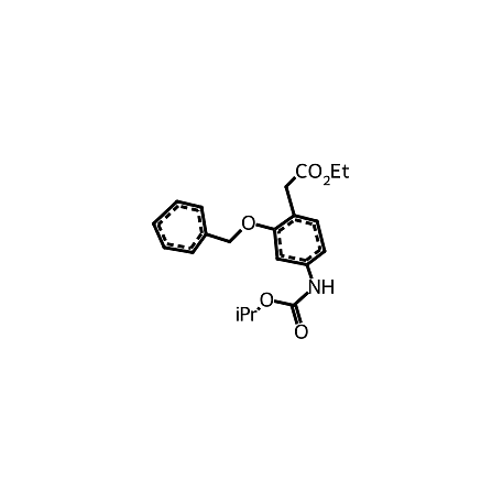 CCOC(=O)Cc1ccc(NC(=O)OC(C)C)cc1OCc1ccccc1